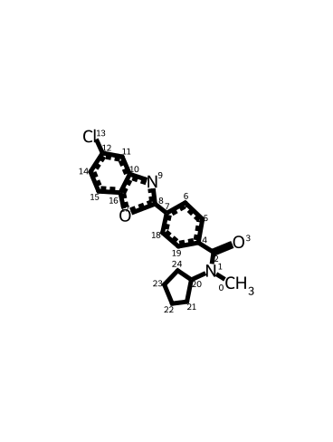 CN(C(=O)c1ccc(-c2nc3cc(Cl)ccc3o2)cc1)C1CCCC1